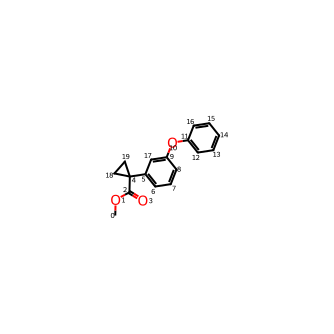 COC(=O)C1(c2cccc(Oc3ccccc3)c2)CC1